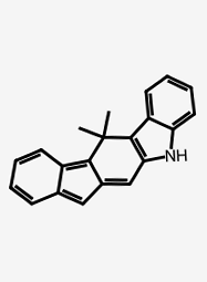 CC1(C)C2=c3ccccc3=CC2=Cc2[nH]c3ccccc3c21